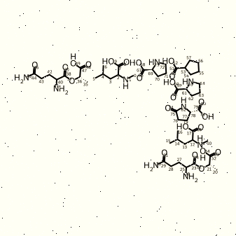 CNC(CC(C)C)C(=O)O.CNC(CC(C)C)C(=O)O.C[C@H](OC(=O)C(N)CCC(N)=O)C(=O)O.C[C@H](OC(=O)C(N)CCC(N)=O)C(=O)O.O=C(O)C1CCCC1.O=C(O)C1CCCN1.O=C(O)[C@@H]1CCCN1.O=C1CC[C@@H](C(=O)O)N1